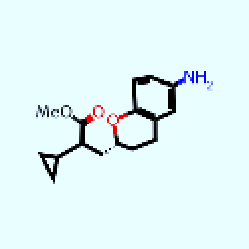 COC(=O)C(C[C@H]1CCc2cc(N)ccc2O1)C1CC1